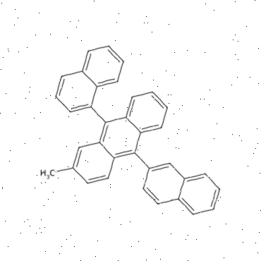 Cc1ccc2c(-c3ccc4ccccc4c3)c3ccccc3c(-c3cccc4ccccc34)c2c1